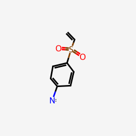 C=CS(=O)(=O)c1ccc([N])cc1